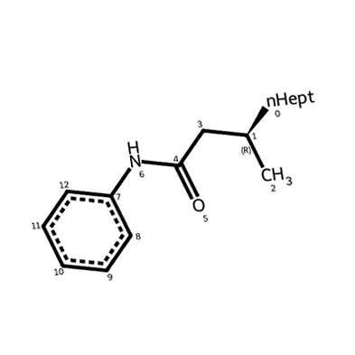 CCCCCCC[C@@H](C)CC(=O)Nc1ccccc1